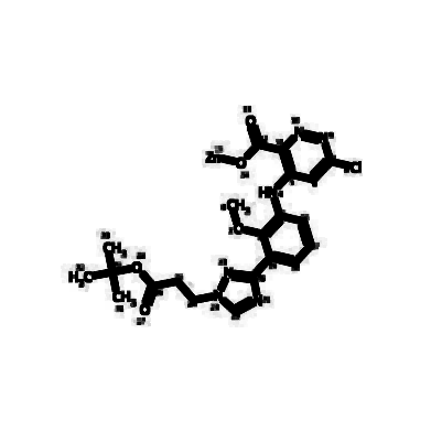 COc1c(Nc2cc(Cl)nnc2C(=O)[O][Zn])cccc1-c1ncn(CCC(=O)OC(C)(C)C)n1